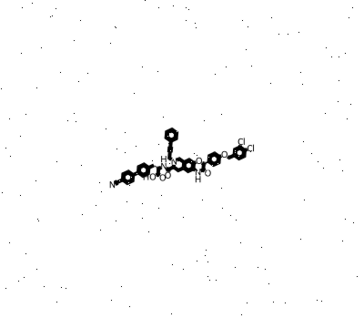 N#Cc1ccc(-c2ccc(C[C@H](NC(=O)C3Cc4cc5c(cc4CN3CC#Cc3ccccc3)O[C@@H](c3ccc(OCc4ccc(Cl)c(Cl)c4)cc3)C(=O)N5)C(=O)O)cc2)cc1